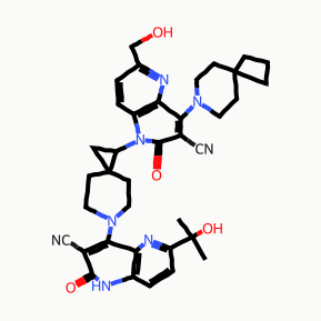 CC(C)(O)c1ccc2[nH]c(=O)c(C#N)c(N3CCC4(CC3)CC4n3c(=O)c(C#N)c(N4CCC5(CCC5)CC4)c4nc(CO)ccc43)c2n1